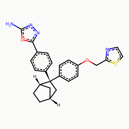 Nc1nnc(-c2ccc([C@@]3(c4ccc(OCc5nccs5)cc4)C[C@@H]4CC[C@H]3C4)cc2)o1